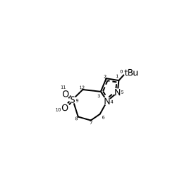 CC(C)(C)c1cc2n(n1)CCCS(=O)(=O)C2